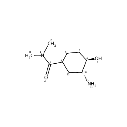 CN(C)C(=O)C1CC[C@@H](O)[C@H](N)C1